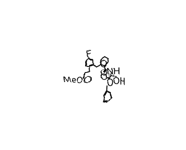 COC(=O)CCc1ccc(F)cc1CC1C2CCC(O2)C1C(=O)N[C@@H](CO)C(=O)OCc1ccccc1